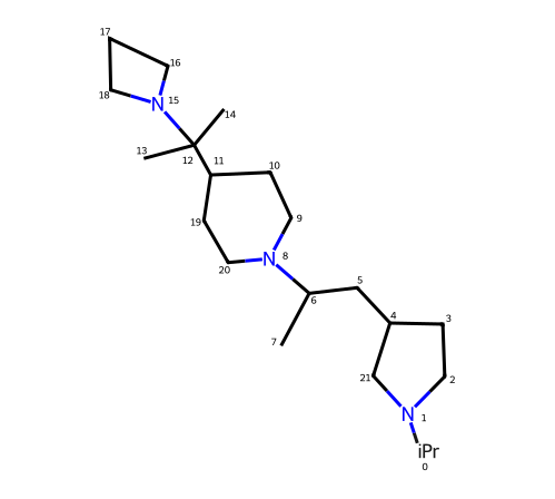 CC(C)N1CCC(CC(C)N2CCC(C(C)(C)N3CCC3)CC2)C1